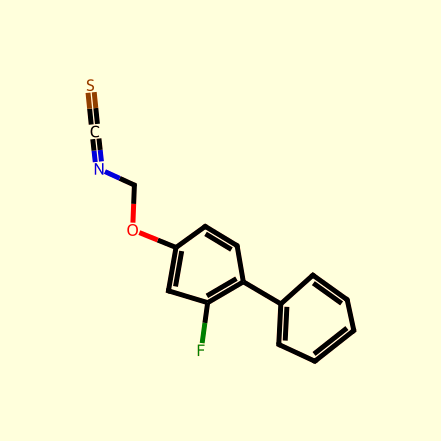 Fc1cc(OCN=C=S)ccc1-c1ccccc1